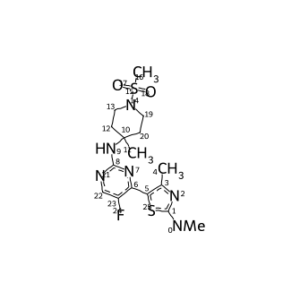 CNc1nc(C)c(-c2nc(NC3(C)CCN(S(C)(=O)=O)CC3)ncc2F)s1